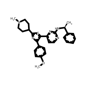 COc1ccc(-c2nc(C3CCN(C)CC3)sc2-c2ccnc(N[C@@H](C)c3ccccc3)n2)cc1